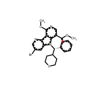 COC(=O)c1cnc(OC)c2c3ncc(Br)cc3n([C@H](c3ccccc3)C3CCOCC3)c12